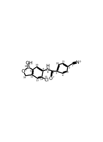 N#Cc1ccc(C(=O)Nc2cc3c(cc2Cl)COB3O)cc1